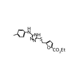 CCOC(=O)c1ccc(CSc2nnc(Nc3ccc(C)cc3)[nH]2)o1